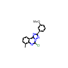 COc1cccc(-c2nc3c4cccc(C)c4nc(Cl)n3n2)c1